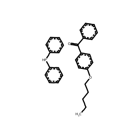 CCCCCOc1ccc(C(=O)c2ccccc2)cc1.c1ccc(Pc2ccccc2)cc1